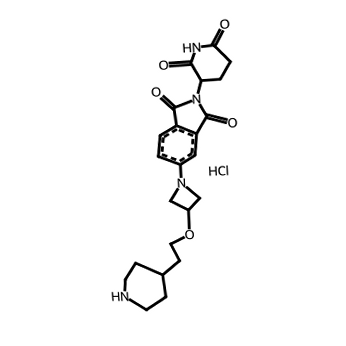 Cl.O=C1CCC(N2C(=O)c3ccc(N4CC(OCCC5CCNCC5)C4)cc3C2=O)C(=O)N1